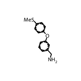 CSc1ccc(Oc2cccc(CN)c2)cc1